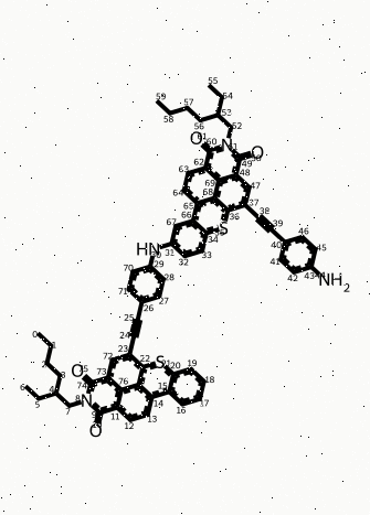 CCCCC(CC)Cn1c(=O)c2ccc3c4ccccc4sc4c(C#Cc5ccc(Nc6ccc7sc8c(C#Cc9ccc(N)cc9)cc9c(=O)n(CC(CC)CCCC)c(=O)c%10ccc(c7c6)c8c%109)cc5)cc(c1=O)c2c43